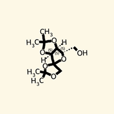 CC1(C)O[C@H]2[C@H](CO)OC3(COC(C)(C)O3)[C@H]2O1